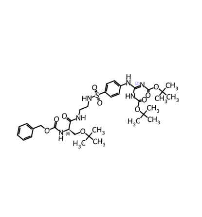 CC(C)(C)OC[C@@H](NC(=O)OCc1ccccc1)C(=O)NCCNS(=O)(=O)c1ccc(N/C(=N/C(=O)OC(C)(C)C)NC(=O)OC(C)(C)C)cc1